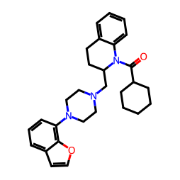 O=C(C1CCCCC1)N1c2ccccc2CCC1CN1CCN(c2cccc3ccoc23)CC1